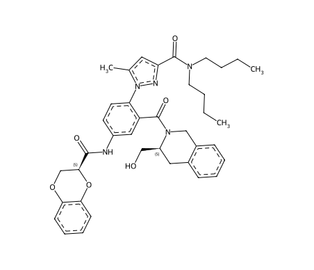 CCCCN(CCCC)C(=O)c1cc(C)n(-c2ccc(NC(=O)[C@@H]3COc4ccccc4O3)cc2C(=O)N2Cc3ccccc3C[C@H]2CO)n1